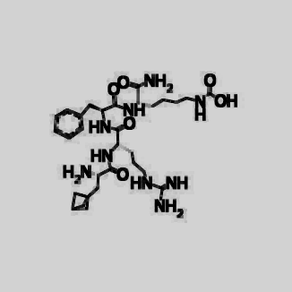 N=C(N)NCCC[C@H](NC(=O)[C@@H](N)CC12CC(C1)C2)C(=O)N[C@@H](Cc1ccccc1)C(=O)N[C@@H](CCCCNC(=O)O)C(N)=O